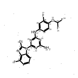 CCc1nc2c(F)cccc2n1-c1nc(N)nc(Nc2ccc(OC(F)F)c(F)c2)n1